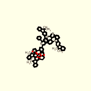 CC1(C)c2ccccc2-c2cc3c4c(n(-c5ccc(-c6cc(-c7ccc(-n8c9c(c%10ccccc%108)C=C8c%10ccccc%10C(C)(C)C8C9)c(-c8ccncc8-n8c9ccccc9c9cc%10c(cc98)C(C)(C)c8ccccc8-%10)c7)nc(-c7ccccc7)n6)cc5-c5ccncc5-n5c6ccccc6c6cc7c(cc65)C(C)(C)c5ccccc5-7)c3cc21)C=CCC4